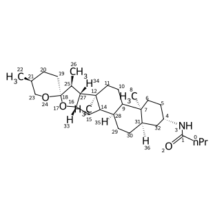 CCCC(=O)N[C@H]1CC[C@]2(C)C3CC[C@@]4(C)C(C[C@@H]5O[C@]6(CC[C@H](C)CO6)[C@@H](C)[C@@H]54)[C@@H]3CC[C@@H]2C1